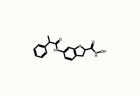 CC(C(=O)Nc1ccc2c(c1)SC(C(=O)NO)C2)c1ccccc1